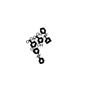 O=C(O)c1cccc(O)c1.O=C(O)c1cccc(O)c1.c1ccc(N=Nc2ccccc2)cc1.c1ccc(N=Nc2ccccc2)cc1